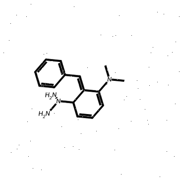 CN(C)C1=CC=CC(N(N)N)C1=Cc1ccccc1